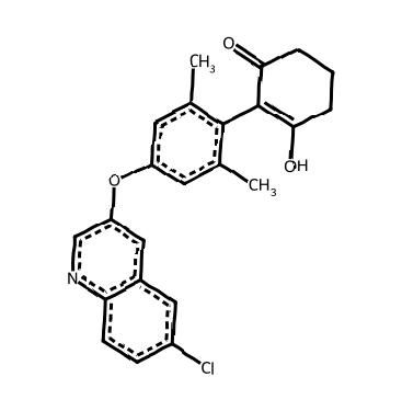 Cc1cc(Oc2cnc3ccc(Cl)cc3c2)cc(C)c1C1=C(O)CCCC1=O